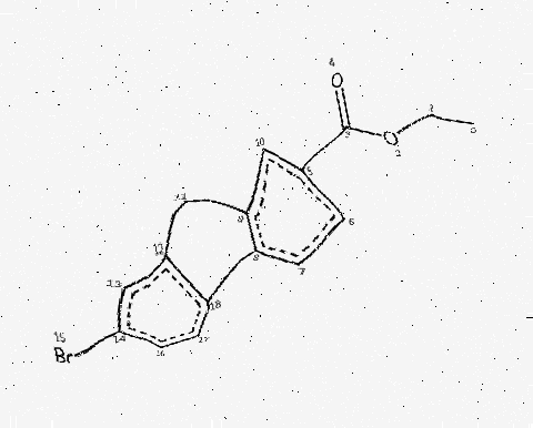 CCOC(=O)c1ccc2c(c1)Cc1cc(Br)ccc1-2